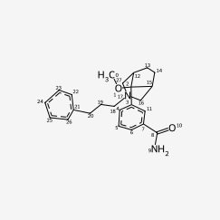 COC1(c2cccc(C(N)=O)c2)C2CCC1CN(CCCc1ccccc1)C2